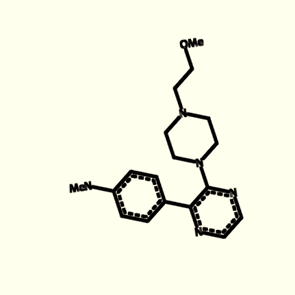 CNc1ccc(-c2nccnc2N2CCN(CCOC)CC2)cc1